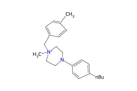 CCCCc1ccc(N2CC[N+](C)(Cc3ccc(C)cc3)CC2)cc1